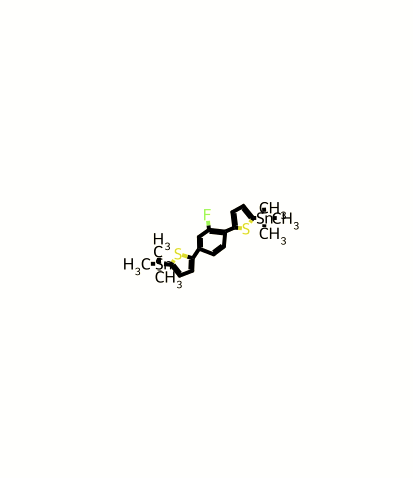 [CH3][Sn]([CH3])([CH3])[c]1ccc(-c2ccc(-c3cc[c]([Sn]([CH3])([CH3])[CH3])s3)c(F)c2)s1